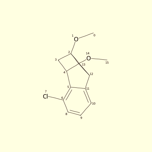 COC12CC3c4c(Cl)cccc4C1C32OC